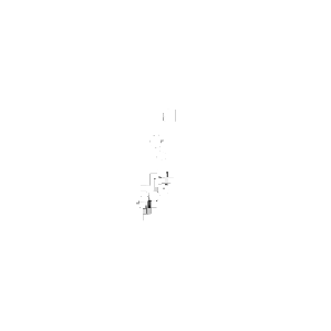 CCCCC1CCC(c2ccc(-c3cc(F)c(C(F)(F)Oc4cc(F)c(OC(F)(F)F)c(F)c4)c(F)c3)cc2)OC1